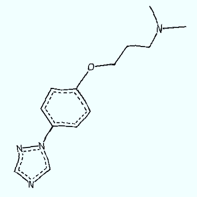 CN(C)CCCOc1ccc(-n2cncn2)cc1